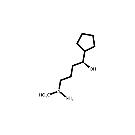 NN(CCC[C@H](O)C1CCCC1)C(=O)O